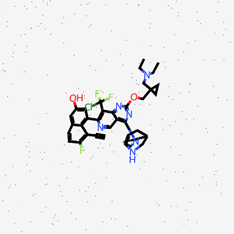 C#Cc1c(F)ccc2cc(O)cc(-c3ncc4c(N5CC6=CCC(CN6)C5)nc(OCC5(CN(CC)CC)CC5)nc4c3C(F)(F)Cl)c12